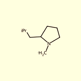 [CH2]N1CCCC1CC(C)C